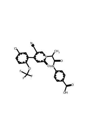 CC(C(=O)Nc1ccc(C(=O)O)cc1)n1cc(C#N)c(-c2cc(Cl)ccc2OC(F)(F)F)cc1=O